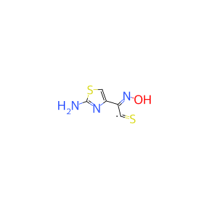 Nc1nc(C([C]=S)=NO)cs1